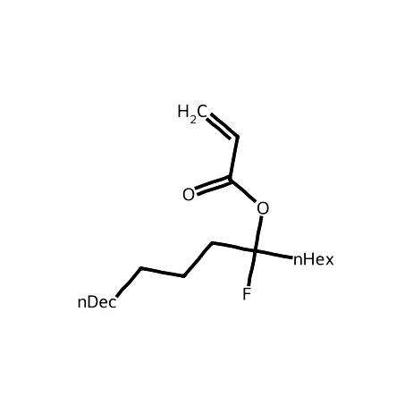 C=CC(=O)OC(F)(CCCCCC)CCCCCCCCCCCCC